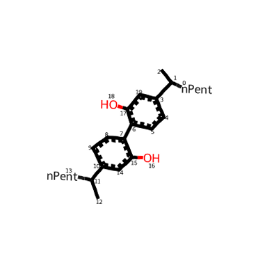 CCCCCC(C)c1ccc(-c2ccc(C(C)CCCCC)cc2O)c(O)c1